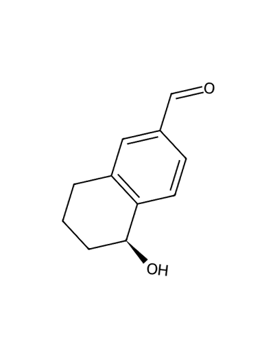 O=Cc1ccc2c(c1)CCC[C@@H]2O